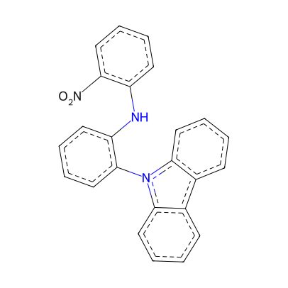 O=[N+]([O-])c1ccccc1Nc1ccccc1-n1c2ccccc2c2ccccc21